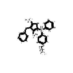 CC1=C(Cc2ccccc2)[C]([Ti+3])=C([SiH](c2ccccc2)c2ccccc2)C1.[Cl-].[Cl-].[Cl-]